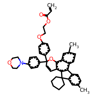 C=CC(=O)OCCOc1ccc(C2(c3ccc(N4CCOCC4)cc3)C=Cc3c4c(c5ccc(C)cc5c3O2)-c2ccc(C)cc2C42CCCCC2)cc1